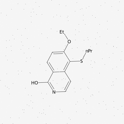 CCCSc1c(OCC)ccc2c(O)nccc12